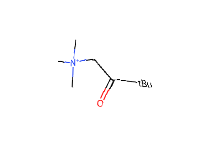 CC(C)(C)C(=O)C[N+](C)(C)C